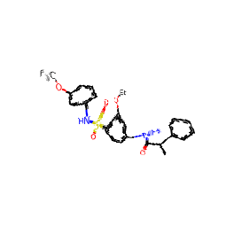 CCOc1cc(NC(=O)C(C)c2ccccc2)ccc1S(=O)(=O)Nc1cccc(OC(F)(F)F)c1